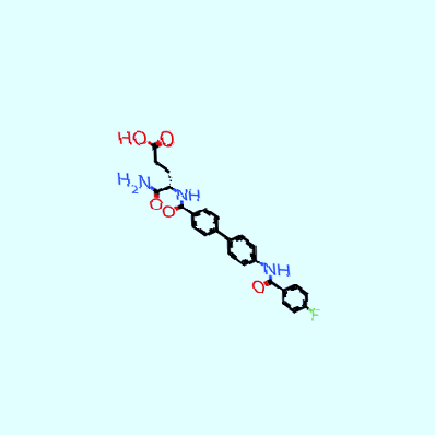 NC(=O)[C@H](CCC(=O)O)NC(=O)c1ccc(-c2ccc(NC(=O)c3ccc(F)cc3)cc2)cc1